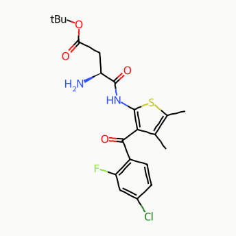 Cc1sc(NC(=O)[C@@H](N)CC(=O)OC(C)(C)C)c(C(=O)c2ccc(Cl)cc2F)c1C